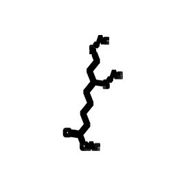 CC(=O)OC(=O)CCCCC(CCSC(C)=O)SC(C)=O